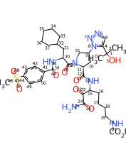 CC(C)(O)c1cnnn1[C@H]1C[C@@H](C(=O)NC(CCCCNC(=O)O)C(=O)C(N)=O)N(C(=O)C(CC2CCCCC2)NC(=O)c2ccc(S(C)(=O)=O)cc2)C1